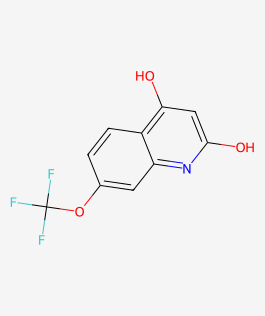 Oc1cc(O)c2ccc(OC(F)(F)F)cc2n1